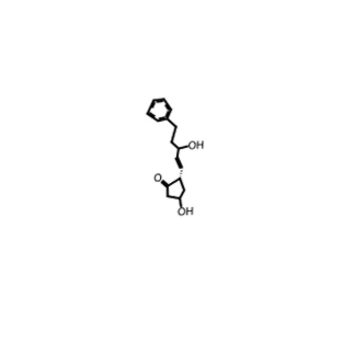 O=C1CC(O)C[C@H]1/C=C/C(O)CCc1ccccc1